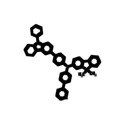 CC1(C)c2ccccc2-c2ccc(N(c3ccc(-c4cccnc4)cc3)c3ccc(-c4ccc5c(c4)c4c(n5C5=CC=CCC5)C=CCC4)cc3)cc21